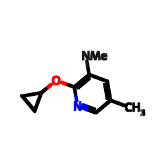 CNc1cc(C)cnc1OC1CC1